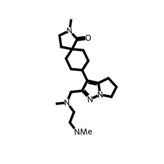 CNCCN(C)Cc1nn2c(c1C1CCC3(CC1)CCN(C)C3=O)CCC2